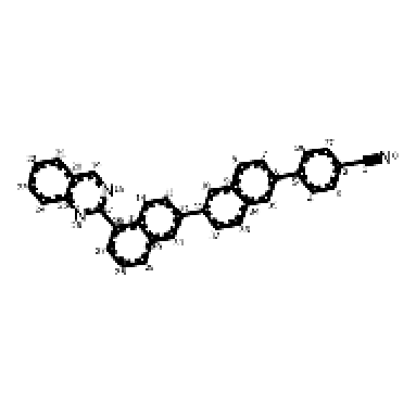 N#Cc1ccc(-c2ccc3cc(-c4ccc5c(-c6ncc7ccccc7n6)cccc5c4)ccc3c2)cc1